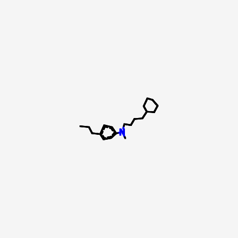 CCCc1ccc(N(C)CCCCC2CCCCC2)cc1